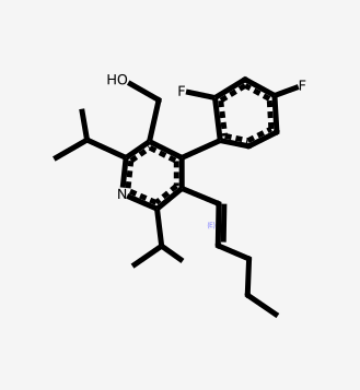 CCC/C=C/c1c(C(C)C)nc(C(C)C)c(CO)c1-c1ccc(F)cc1F